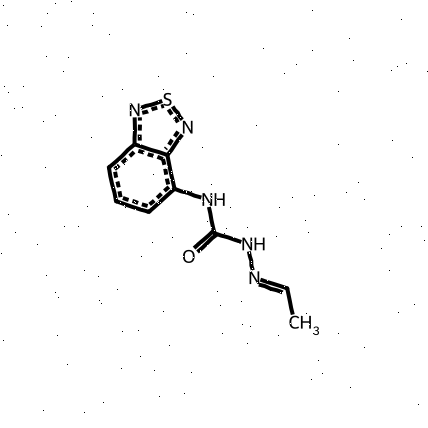 C/C=N/NC(=O)Nc1cccc2nsnc12